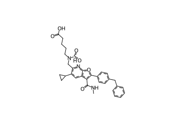 CNC(=O)c1c(-c2ccc(Cc3ccccc3)cc2)oc2nc(CN(CCCCC(=O)O)[SH](=O)=O)c(C3CC3)cc12